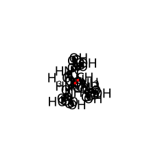 CN(C(=O)CN(CC(=O)N(C)c1c[nH]c(C(=O)Nc2ccc(S(=O)(=O)O)c3cc(S(=O)(=O)O)ccc23)c1)CC(=O)N(C)c1c[nH]c(C(=O)Nc2ccc(S(=O)(=O)O)c3cc(S(=O)(=O)O)ccc23)c1)c1c[nH]c(C(=O)Nc2ccc(S(=O)(=O)O)c3cc(S(=O)(=O)O)ccc23)c1